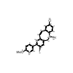 COc1ccc(-c2nc3c(cc2F)CN(C(C)=O)c2ccc(Cl)cc2C=C3)cn1